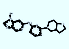 CC(C)n1cnc2cnc(Nc3ccnc(N4CCC5OCCC5C4)n3)cc21